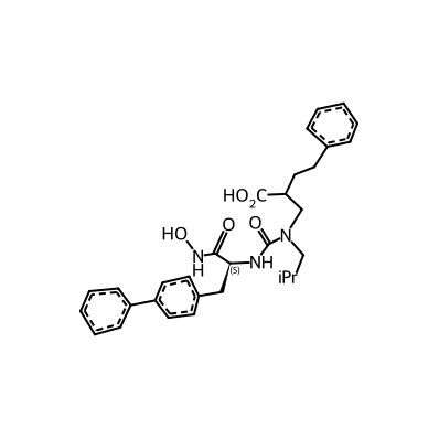 CC(C)CN(CC(CCc1ccccc1)C(=O)O)C(=O)N[C@@H](Cc1ccc(-c2ccccc2)cc1)C(=O)NO